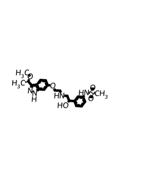 CO[C@H](C)c1n[nH]c2cc(OCCNCC(O)c3cccc(NS(C)(=O)=O)c3)ccc12